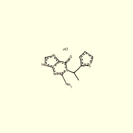 CC(c1cccs1)n1c(N)nc2[nH]cnc2c1=O.Cl